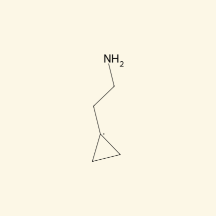 NCC[C]1CC1